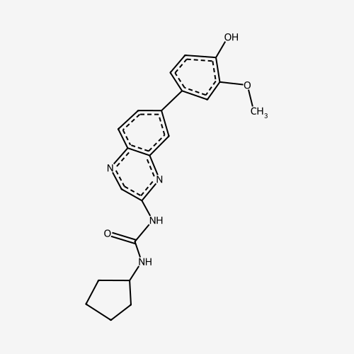 COc1cc(-c2ccc3ncc(NC(=O)NC4CCCC4)nc3c2)ccc1O